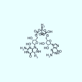 BP(=O)(OP(=O)(O)OC[C@H]1O[C@@H](N(C=N)c2nc(N)[nH]c(=O)c2C)[C@H](O)[C@@H]1O)OP(=O)(O)OC[C@H]1O[C@@H](n2cnc3c(=O)[nH]c(N)nc32)[C@H](O)[C@@H]1O